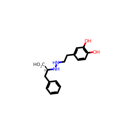 O=C(O)[C@H](Cc1ccccc1)NNCCc1ccc(O)c(O)c1